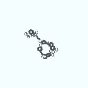 COc1cc2c3cc1Oc1c(OC)c(OC)cc4c1[C@@H](Cc1ccc(OCCCNC(=O)c5cccc([N+](=O)[O-])c5)c(c1)Oc1ccc(cc1)CC3N(C)CC2)N(C)CC4